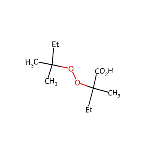 CCC(C)(C)OOC(C)(CC)C(=O)O